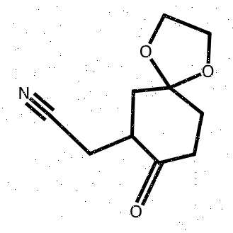 N#CCC1CC2(CCC1=O)OCCO2